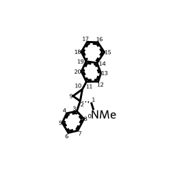 CNC[C@]1(c2ccccc2)CC1c1ccc2ccccc2c1